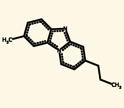 CCCc1ccn2c(c1)nc1ccc(C)cc12